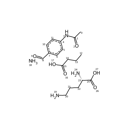 CC(=O)Nc1ccc(C=O)cc1.CCCC(=O)O.N.NCCC[C@H](N)C(=O)O